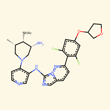 CC(=O)N[C@@H]1[C@H](N)CN(c2ccncc2Nc2ncc3ccc(-c4c(F)cc(OC5CCOC5)cc4F)nn23)C[C@@H]1C